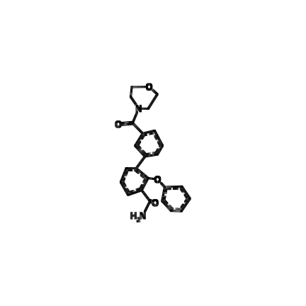 NC(=O)c1cccc(-c2cccc(C(=O)N3CCOCC3)c2)c1Oc1ccccc1